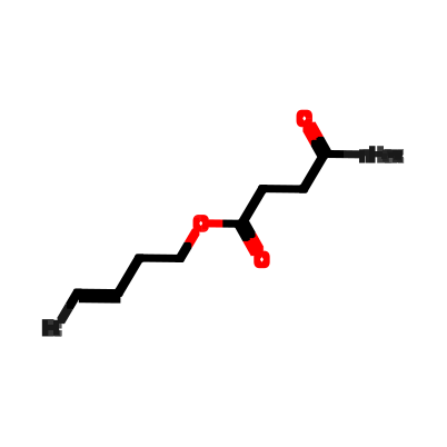 CC/C=C/CCOC(=O)CCC(=O)CCCCCC